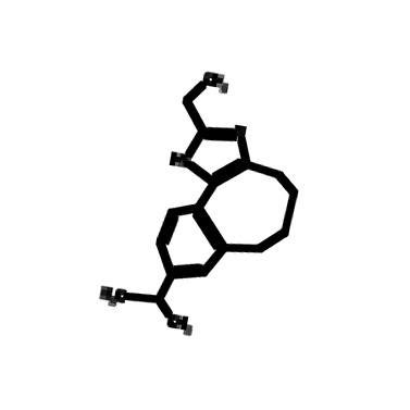 CCc1nc2c([nH]1)-c1ccc(C(C)C)cc1CCCC2